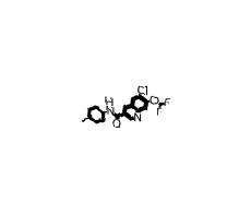 C[C@H]1CC[C@H](NC(=O)c2cnc3cc(OC(F)F)c(Cl)cc3c2)CC1